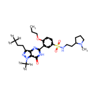 [2H]C([2H])([2H])CCc1nn(C([2H])([2H])[2H])c2c(=O)[nH]c(-c3cc(S(=O)(=O)NCCC4CCCN4C)ccc3OCCC)nc12